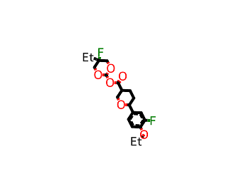 CCOc1ccc(C2CCC(C(=O)OC3OCC(F)(CC)CO3)CO2)cc1F